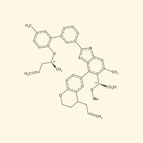 C=CCC1CCOc2ccc(-c3c([C@H](OC(C)(C)C)C(=O)OCC)c(C)cc4nc(-c5cccc(-c6cc(C)ccc6O[C@@H](C)CC=C)c5)sc34)cc21